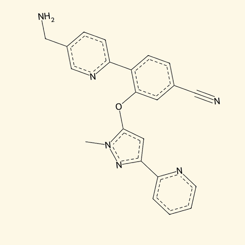 Cn1nc(-c2ccccn2)cc1Oc1cc(C#N)ccc1-c1ccc(CN)cn1